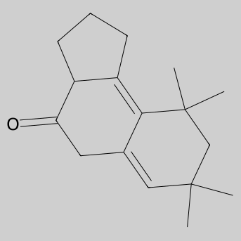 CC1(C)C=C2CC(=O)C3CCCC3=C2C(C)(C)C1